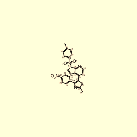 Cc1ccc(S(=O)(=O)n2ccc3c(-c4sc(C)nc4-c4ccc([N+](=O)[O-])cc4)ccnc32)cc1